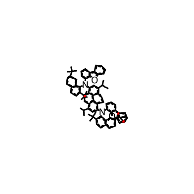 CC(C)c1cc(N(c2c(C(C)(C)C)ccc3ccc(C(C)(C)C)cc23)c2cccc3c2oc2ccccc23)c2ccc3c(C(C)C)cc(N(c4c(C(C)(C)C)ccc5ccc(C(C)(C)C)cc45)c4cccc5c4oc4ccccc45)c4ccc1c2c34